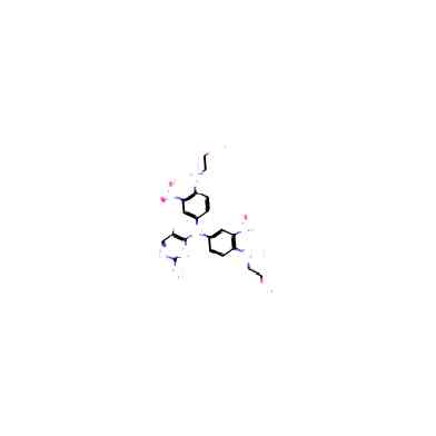 Nc1ncc(F)c(N(c2ccc(NCCO)c([N+](=O)[O-])c2)c2ccc(NCCO)c([N+](=O)[O-])c2)n1